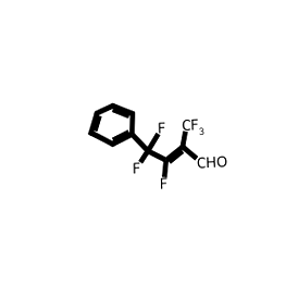 O=CC(=C(F)C(F)(F)c1ccccc1)C(F)(F)F